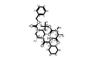 C[C@@H]1CN(C(=O)OCc2ccccc2)CCN1C(=O)[C@@H](NC(=O)[C@H](C)N(C)C(=O)OC(C)(C)C)C1CCCCC1